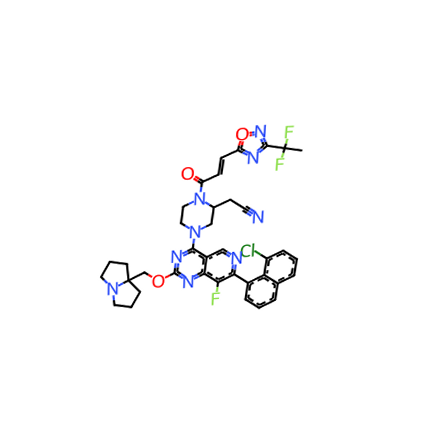 CC(F)(F)c1noc(/C=C/C(=O)N2CCN(c3nc(OCC45CCCN4CCC5)nc4c(F)c(-c5cccc6cccc(Cl)c56)ncc34)CC2CC#N)n1